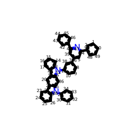 c1ccc(-c2cc(-c3cccc(-n4c5ccccc5c5cc6c7ccccc7n(-c7ccccc7)c6cc54)c3)cc(-c3ccccc3)n2)cc1